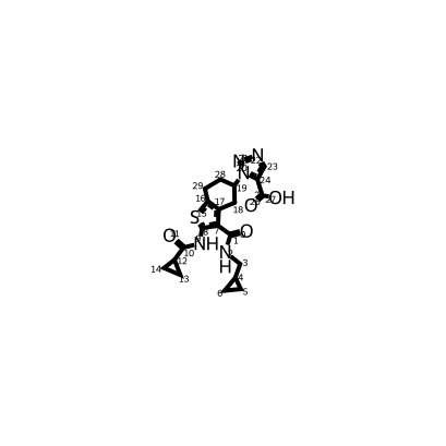 O=C(NCC1CC1)c1c(NC(=O)C2CC2)sc2c1CC(n1nncc1C(=O)O)CC2